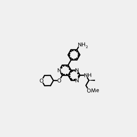 COC[C@H](C)Nc1ncc2c(OC3CCOCC3)ncc(-c3ccc(N)cc3)c2n1